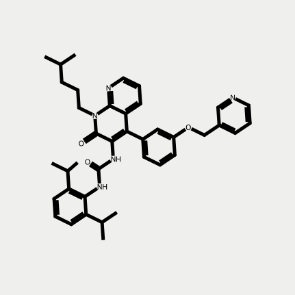 CC(C)CCCn1c(=O)c(NC(=O)Nc2c(C(C)C)cccc2C(C)C)c(-c2cccc(OCc3cccnc3)c2)c2cccnc21